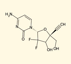 C#C[C@]1(CO)O[C@@H](n2ccc(N)nc2=O)C(F)(F)C1O